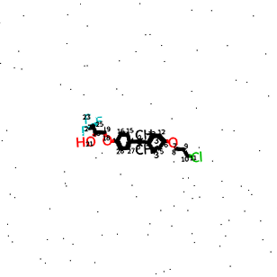 CC(C)(c1ccc(OCCCCl)cc1)c1ccc(OCC(O)C(F)(F)F)cc1